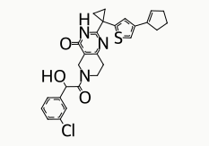 O=C(C(O)c1cccc(Cl)c1)N1CCc2nc(C3(c4cc(C5=CCCC5)cs4)CC3)[nH]c(=O)c2C1